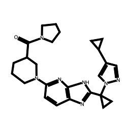 O=C(C1CCCN(c2ccc3nc(C4(n5cc(C6CC6)cn5)CC4)[nH]c3n2)C1)N1CCCC1